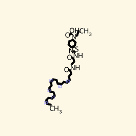 CC/C=C\C/C=C\C/C=C\C/C=C\C/C=C\C/C=C\CCC(=O)NCCC(=O)Nc1nc2c(s1)C[C@H](N(CCC)C(=O)O)CC2